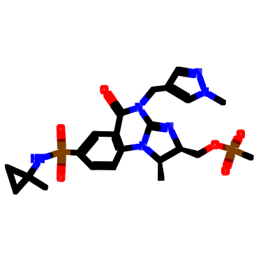 C[C@@H]1[C@H](COS(C)(=O)=O)N=C2N(Cc3cnn(C)c3)C(=O)c3cc(S(=O)(=O)NC4(C)CC4)ccc3N21